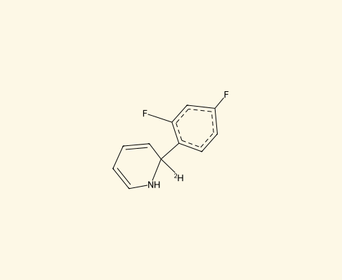 [2H]C1(c2ccc(F)cc2F)C=CC=CN1